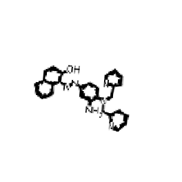 Nc1cc(/N=N/c2c(O)ccc3ccccc23)ccc1N(Cc1ccccn1)Cc1ccccn1